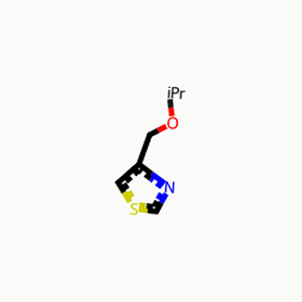 CC(C)OCc1cscn1